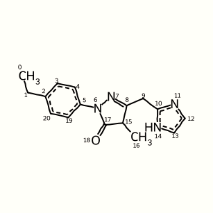 CCc1ccc(N2N=C(Cc3ncc[nH]3)C(C)C2=O)cc1